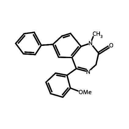 COc1ccccc1C1=NCC(=O)N(C)c2ccc(-c3ccccc3)cc21